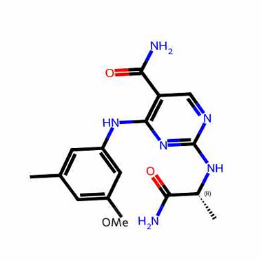 COc1cc(C)cc(Nc2nc(N[C@H](C)C(N)=O)ncc2C(N)=O)c1